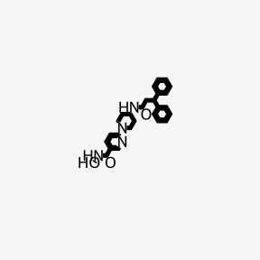 O=C(CC(c1ccccc1)c1ccccc1)NC1CCN(c2ccc(C(=O)NO)cn2)CC1